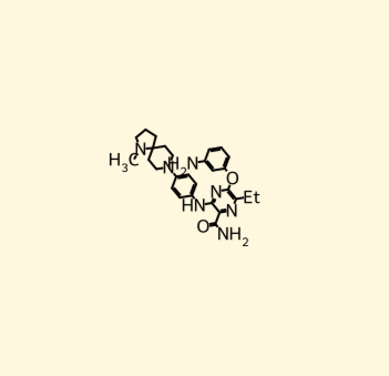 CCc1nc(C(N)=O)c(Nc2ccc(N3CCC4(CCCN4C)CC3)cc2)nc1Oc1cccc(N)c1